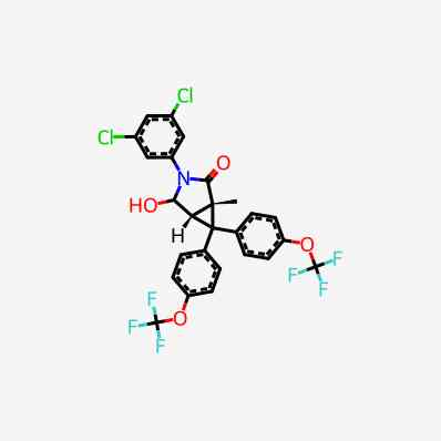 C[C@]12C(=O)N(c3cc(Cl)cc(Cl)c3)C(O)[C@H]1C2(c1ccc(OC(F)(F)F)cc1)c1ccc(OC(F)(F)F)cc1